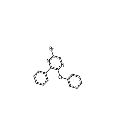 Brc1cnc(Oc2ccccc2)c(-c2ccccc2)n1